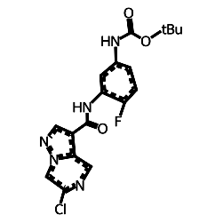 CC(C)(C)OC(=O)Nc1ccc(F)c(NC(=O)c2cnn3cc(Cl)ncc23)c1